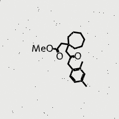 COC(=O)CC1(CC(=O)Cc2ccc(C)cc2C)CCCCCC1